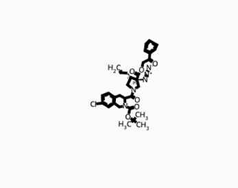 C=CC[C@H]1CN(C(=O)C2Cc3ccc(Cl)cc3CN2C(=O)OC(C)(C)C)C[C@@]1(N=[N+]=[N-])C(=O)OCC(=O)c1ccccc1